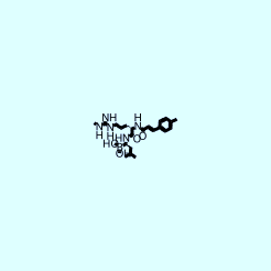 CNC(=N)NCCC[C@H](NC(=O)/C=C/c1ccc(C)cc1)C(=O)N[C@@H](CC(C)C)B(O)O